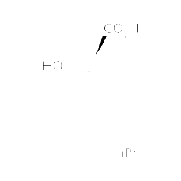 CCCCC[C@@H](O)C(=O)O